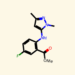 COC(=O)c1cc(F)ccc1Nc1cc(C)nn1C